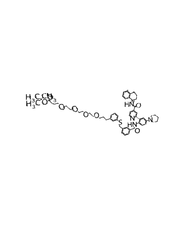 CC(C)(C)OC(=O)CCOCCOCCOCCOCCCc1cccc(SCc2cccc(C(=O)Nc3ccc(N4CCCCC4)cc3-c3cc(C(=O)N[C@H]4CCCc5ccccc54)ccn3)c2)c1